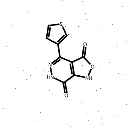 O=c1[nH]nc(-c2ccsc2)c2c(=O)o[nH]c12